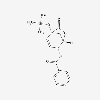 CC(C)(C)[Si](C)(C)O[C@@]12C=C[C@@H](OC(=O)c3ccccc3)[C@H](C1)OC2=O